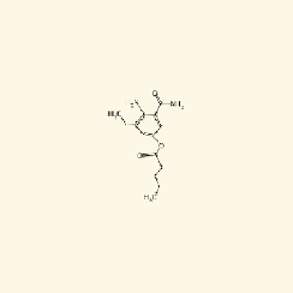 CCCCC(=O)Oc1cc(CC)c(N)c(C(N)=O)c1